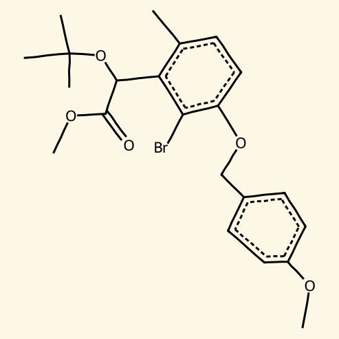 COC(=O)C(OC(C)(C)C)c1c(C)ccc(OCc2ccc(OC)cc2)c1Br